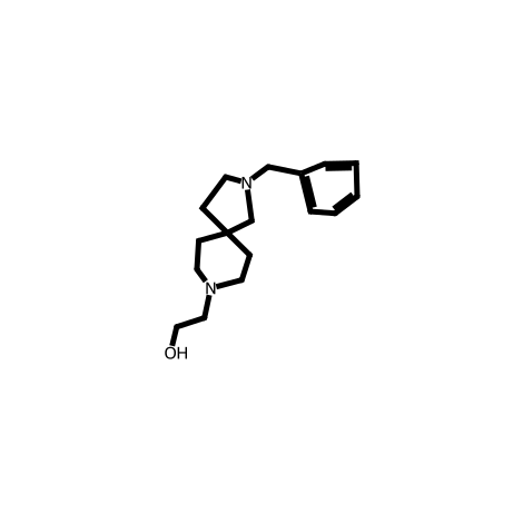 OCCN1CCC2(CC1)CCN(Cc1ccccc1)C2